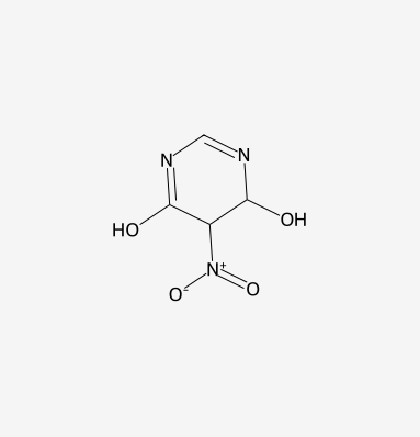 O=[N+]([O-])C1C(O)=NC=NC1O